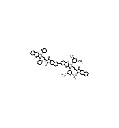 Cc1cc(N2/C(=C/C=C3C(=O)c4cc5ccccc5cc4C3=O)N(c3cc(C)nc(C)c3)c3nc4cc(-c5ccc6cc7c(cc6c5)C(=O)/C(=C\C=C5N(c6ccccn6)c6nc8ccccc8nc6N5c5ccccn5)C7=O)ccc4nc32)cc(C)n1